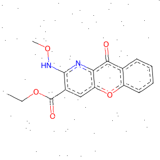 CCOC(=O)c1cc2oc3ccccc3c(=O)c2nc1NOC